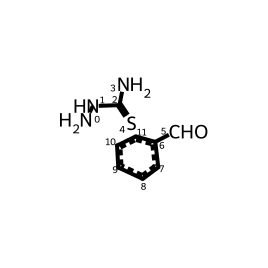 NNC(N)=S.O=Cc1ccccc1